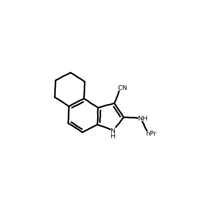 CCCNc1[nH]c2ccc3c(c2c1C#N)CCCC3